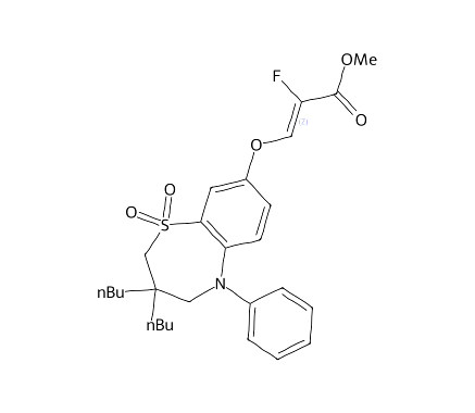 CCCCC1(CCCC)CN(c2ccccc2)c2ccc(O/C=C(\F)C(=O)OC)cc2S(=O)(=O)C1